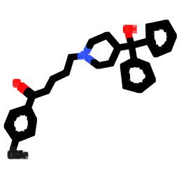 COc1ccc(C(=O)CCCCN2CCC(C(O)(c3ccccc3)c3ccccc3)CC2)cc1